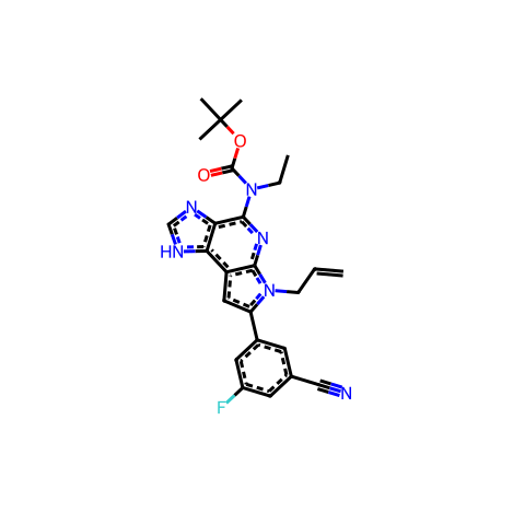 C=CCn1c(-c2cc(F)cc(C#N)c2)cc2c3[nH]cnc3c(N(CC)C(=O)OC(C)(C)C)nc21